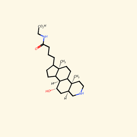 C[C@]12CCC3[C@H](C1CCC2CCCC(=O)NCC(=O)O)[C@@H](O)C[C@@H]1CNCC[C@]31C